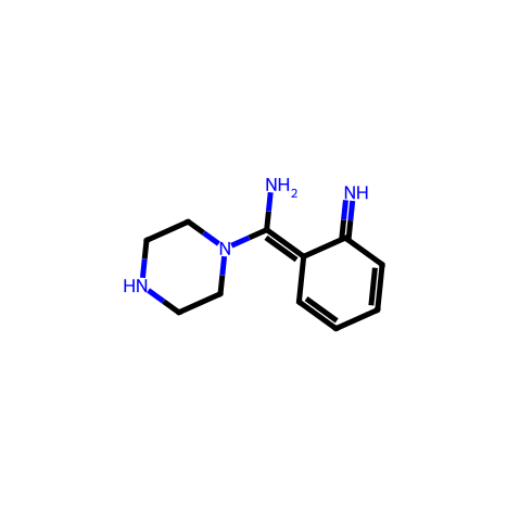 N=C1C=CC=C/C1=C(/N)N1CCNCC1